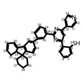 Sc1ccccc1-c1cc(-c2ccncc2)nc(-c2cccc(-c3ccc4c(c3)C3=CC=CCC3C43CCCCC3)c2)n1